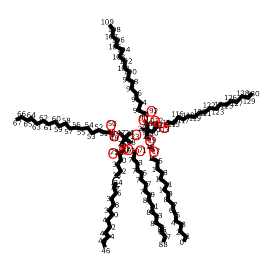 CCCCCCCCCCCCCCCCCOCOCC(COCC(COC(=O)CCCCCCCCCCCCCCCCC)(COC(=O)CCCCCCCCCCCCCCCCC)COC(=O)CCCCCCCCCCCCCCCCC)(COC(=O)CCCCCCCCCCCCCCCCC)CC(=O)OCCCCCCCCCCCCCCCCC